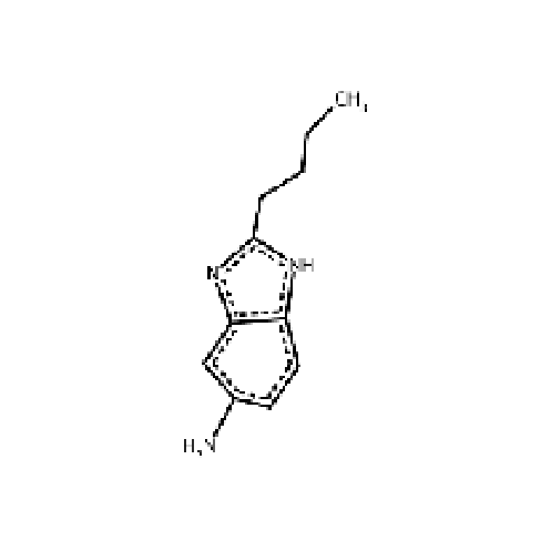 CCCCc1nc2cc(N)ccc2[nH]1